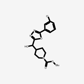 CC(C)(C)OC(=O)N1CCC(C(O)c2nnc(-c3cccc(Cl)c3)o2)CC1